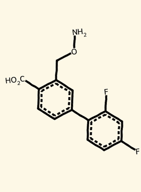 NOCc1cc(-c2ccc(F)cc2F)ccc1C(=O)O